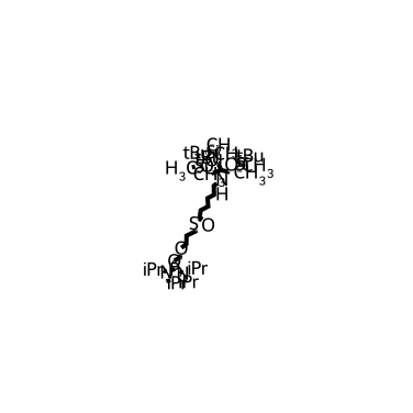 CC(C)N(C(C)C)P(OCOCCCSC(=O)CCCCCNC(CO[Si](C)(C)C(C)(C)C)(CO[Si](C)(C)C(C)(C)C)CO[Si](C)(C)C(C)(C)C)N(C(C)C)C(C)C